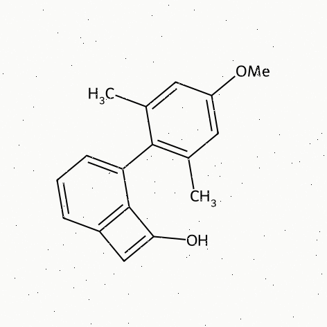 COc1cc(C)c(-c2cccc3c2C(O)=C3)c(C)c1